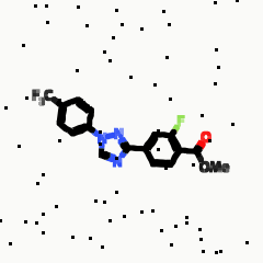 COC(=O)c1ccc(-c2ncn(-c3ccc(C(F)(F)F)cc3)n2)cc1F